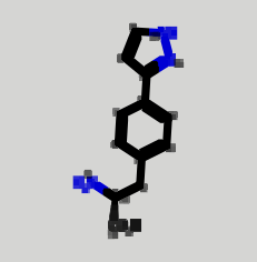 N[C@@H](Cc1ccc(-c2cc[nH]n2)cc1)C(=O)O